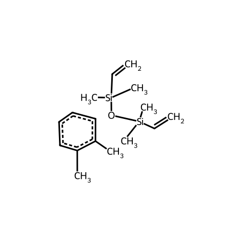 C=C[Si](C)(C)O[Si](C)(C)C=C.Cc1ccccc1C